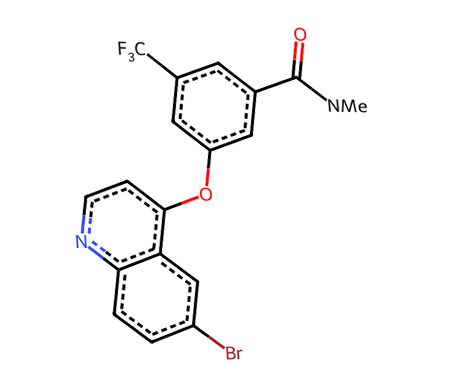 CNC(=O)c1cc(Oc2ccnc3ccc(Br)cc23)cc(C(F)(F)F)c1